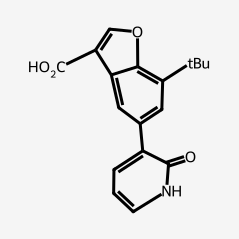 CC(C)(C)c1cc(-c2ccc[nH]c2=O)cc2c(C(=O)O)coc12